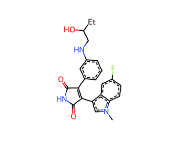 CCC(O)CNc1cccc(C2=C(c3cn(C)c4ccc(F)cc34)C(=O)NC2=O)c1